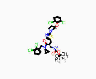 CC(C)(C)OC(=O)NC[C@H](Cc1cnc(N2CC[C@@H](Oc3c(Cl)cccc3Cl)C2)s1)C(=O)N(Cc1cccc(Cl)c1Cl)C1CC1